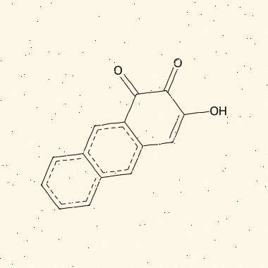 O=C1C(=O)c2cc3ccccc3cc2C=C1O